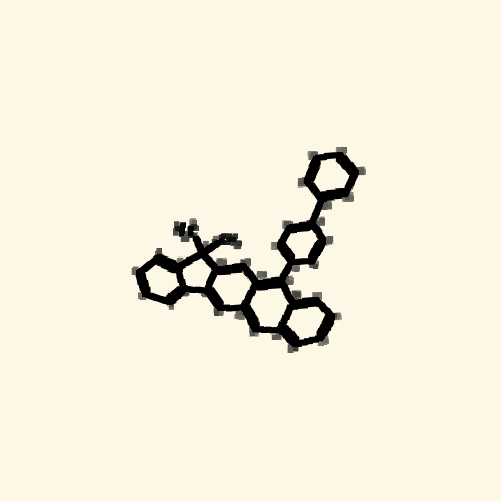 CC1(C)c2ccccc2-c2cc3cc4ccccc4c(-c4ccc(-c5ccccc5)cc4)c3cc21